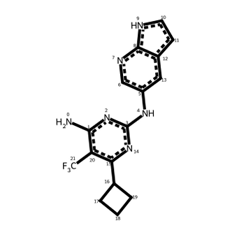 Nc1nc(Nc2cnc3[nH]ccc3c2)nc(C2CCC2)c1C(F)(F)F